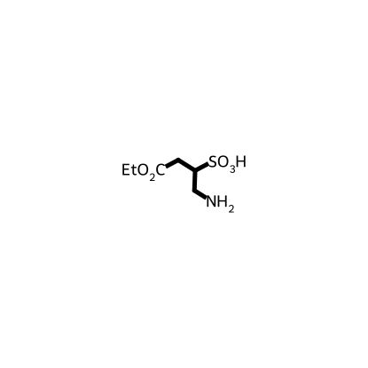 CCOC(=O)CC(CN)S(=O)(=O)O